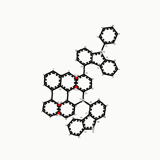 c1ccc(-c2cccc3cccc(-c4ccccc4N(c4ccc(-c5cccc6c5c5ccccc5n6-c5ccccc5)cc4)c4cccc5oc6ccccc6c45)c23)cc1